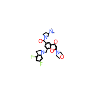 CN(C)C1CCN(C(=O)c2cc(CN3CCc4c(F)cc(F)cc43)c3oc(N4CCOCC4)cc(=O)c3c2)C1